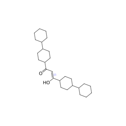 O=C(/C=C(\O)C1CCC(C2CCCCC2)CC1)C1CCC(C2CCCCC2)CC1